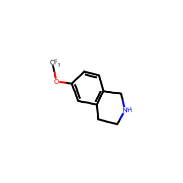 FC(F)(F)Oc1ccc2c(c1)CCNC2